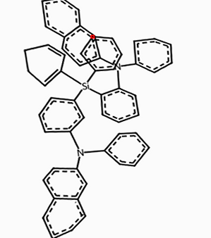 C1=CC([Si](c2ccccc2)(c2cccc(N(c3ccccc3)c3ccc4ccccc4c3)c2)c2ccccc2N(c2ccccc2)c2ccc3ccccc3c2)=CCC1